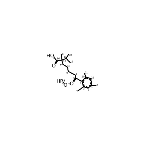 Cc1cc(C)c(C(=O)CCCCC(C)(C(=O)O)C(C)C)c(C)c1.O=P